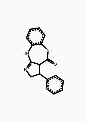 O=C1Nc2ccccc2NC2=NCC(c3ccccc3)C12